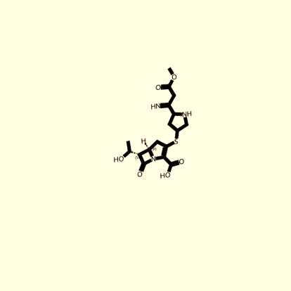 COC(=O)CC(=N)C1CC(SC2=C(C(=O)O)N3C(=O)[C@H](C(C)O)[C@H]3C2)CN1